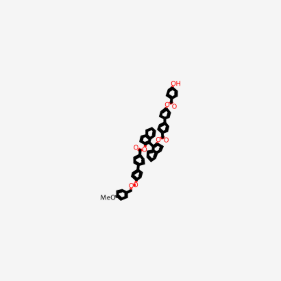 COc1ccc(COOc2ccc(-c3ccc(C(=O)Oc4ccc5c(c4-c4c(OC(=O)c6ccc(C7C=CC(OC(=O)c8ccc(O)cc8)=CC7)cc6)ccc6ccccc46)C=CCC5)cc3)cc2)cc1